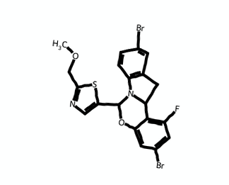 COCc1ncc(C2Oc3cc(Br)cc(F)c3C3Cc4cc(Br)ccc4N32)s1